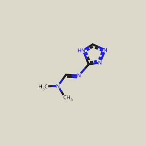 CN(C)/C=N/c1nnc[nH]1